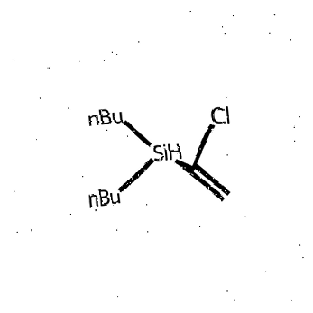 C=C(Cl)[SiH](CCCC)CCCC